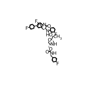 C[C@H](Oc1c(F)cccc1N[C@@H](Cc1ccc(F)c(-c2ccc(F)cc2)c1)C(N)=O)[C@@H]1CN[C@H](COC(=O)NCc2ccc(F)cc2)CO1